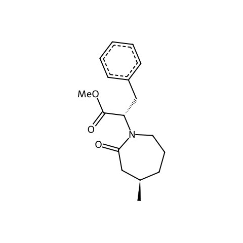 COC(=O)[C@H](Cc1ccccc1)N1CCC[C@@H](C)CC1=O